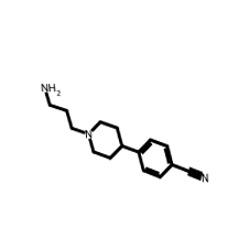 N#Cc1ccc(C2CCN(CCCN)CC2)cc1